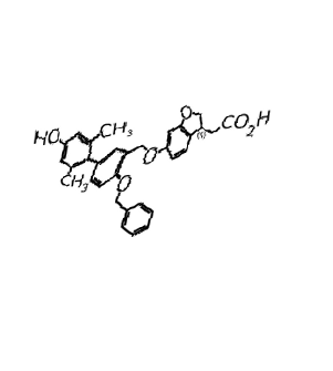 Cc1cc(O)cc(C)c1-c1ccc(OCc2ccccc2)c(COc2ccc3c(c2)OC[C@H]3CC(=O)O)c1